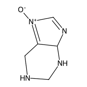 [O-][N+]1=C2CNCNC2N=C1